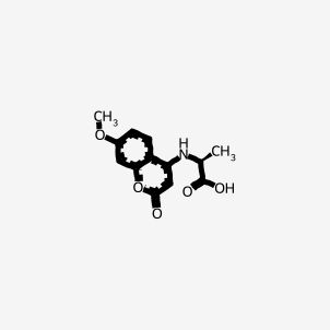 COc1ccc2c(N[C@@H](C)C(=O)O)cc(=O)oc2c1